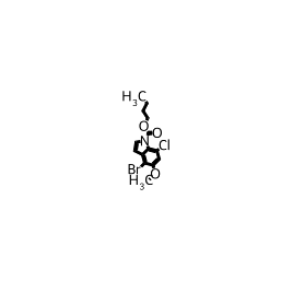 CCCCOC(=O)n1ccc2c(Br)c(OC)cc(Cl)c21